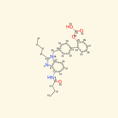 CCCCc1nc2c(NC(=O)CCC)cccc2n1Cc1ccc(-c2ccccc2OC(=O)O)cc1